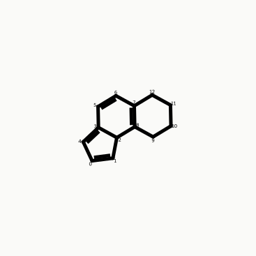 C1=CC2C(=C1)C=CC1=C2CCCC1